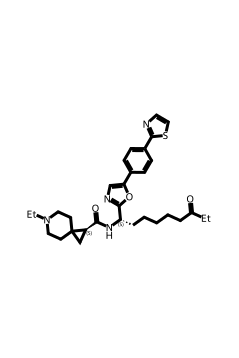 CCC(=O)CCCCC[C@H](NC(=O)[C@H]1CC12CCN(CC)CC2)c1ncc(-c2ccc(-c3nccs3)cc2)o1